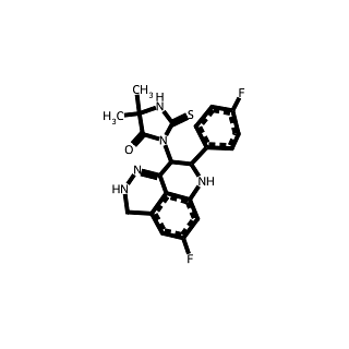 CC1(C)NC(=S)N(C2C3=NNCc4cc(F)cc(c43)NC2c2ccc(F)cc2)C1=O